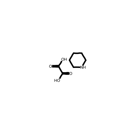 C1CCNCC1.O=C(O)C(=O)O